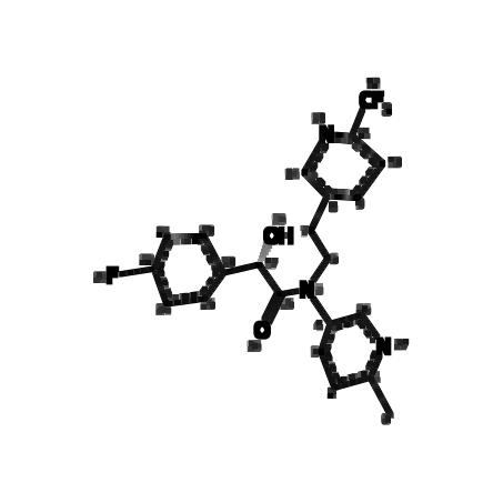 Cc1ccc(N(CCc2ccc(C(F)(F)F)nc2)C(=O)[C@@H](O)c2ccc(F)cc2)cn1